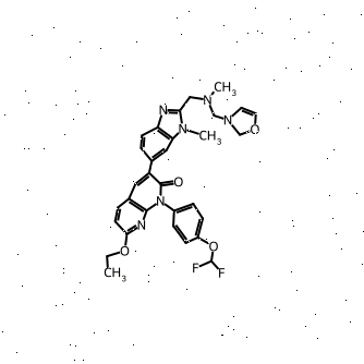 CCOc1ccc2cc(-c3ccc4nc(CN(C)CN5C=COC5)n(C)c4c3)c(=O)n(-c3ccc(OC(F)F)cc3)c2n1